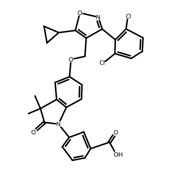 CC1(C)C(=O)N(c2cccc(C(=O)O)c2)c2ccc(OCc3c(-c4c(Cl)cccc4Cl)noc3C3CC3)cc21